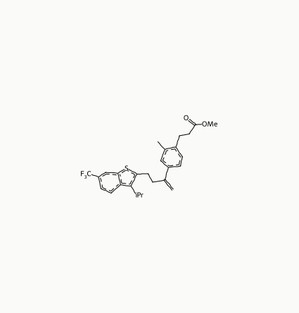 C=C(CCc1sc2cc(C(F)(F)F)ccc2c1C(C)C)c1ccc(CCC(=O)OC)c(C)c1